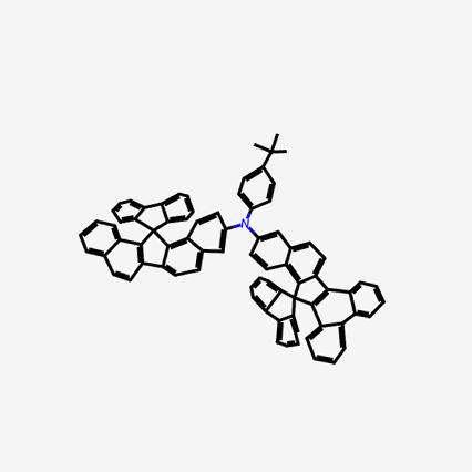 CC(C)(C)c1ccc(N(c2ccc3c4c(ccc3c2)-c2ccc3ccccc3c2C42c3ccccc3-c3ccccc32)c2ccc3c4c(ccc3c2)-c2c(c3ccccc3c3ccccc23)C42c3ccccc3-c3ccccc32)cc1